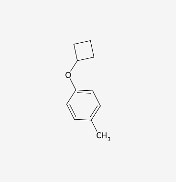 Cc1ccc(OC2CCC2)cc1